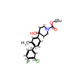 Cc1cc(C2(O)CCN(C(=O)OC(C)(C)C)CC2)ccc1-c1ccc(F)c(Cl)c1